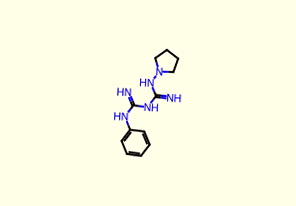 N=C(NC(=N)NN1CCCC1)Nc1ccccc1